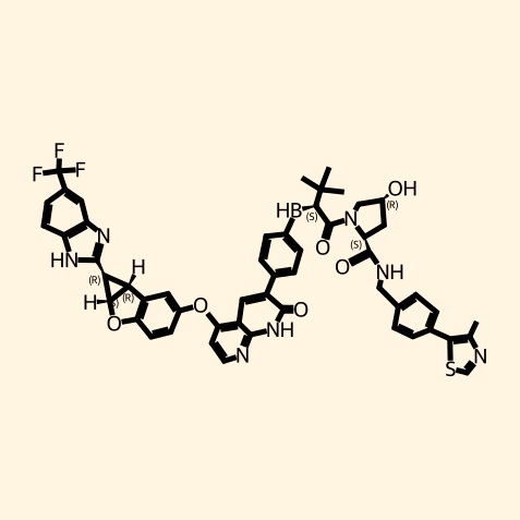 Cc1ncsc1-c1ccc(CNC(=O)[C@@H]2C[C@@H](O)CN2C(=O)[C@@H](Bc2ccc(-c3cc4c(Oc5ccc6c(c5)[C@@H]5[C@H](O6)[C@H]5c5nc6cc(C(F)(F)F)ccc6[nH]5)ccnc4[nH]c3=O)cc2)C(C)(C)C)cc1